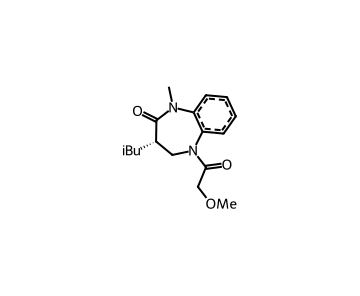 CCC(C)[C@H]1CN(C(=O)COC)c2ccccc2N(C)C1=O